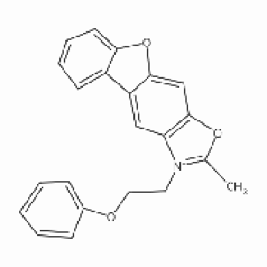 Cc1oc2cc3oc4ccccc4c3cc2[n+]1CCOc1ccccc1